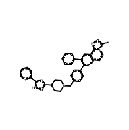 Cc1nnc2c3cc(-c4ccccc4)c(-c4ccc(CN5CCC(c6n[nH]c(-c7ccccn7)n6)CC5)cc4)nc3ccn12